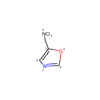 O=[N+]([O-])c1cnco1